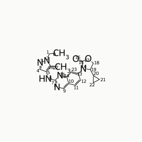 CCn1ncc(Nc2ncc3ccc(N4C(=O)OCC4C4CC4)cc3n2)c1C